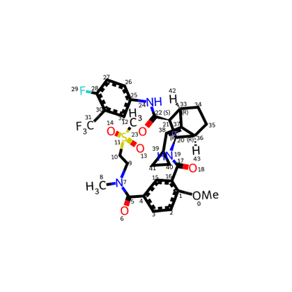 COc1ccc(C(=O)N(C)CCS(C)(=O)=O)cc1C(=O)N[C@H]1[C@@H](C(=O)Nc2ccc(F)c(C(F)(F)F)c2)[C@H]2CC[C@@H]1/C2=C\C1CC1